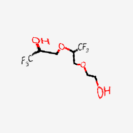 OCCOCC(OCC(O)C(F)(F)F)C(F)(F)F